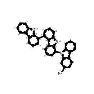 N#Cc1ccc2c3ccccc3n(-c3cccc4c3sc3cccc(-c5cccc6c5oc5ccccc56)c34)c2c1